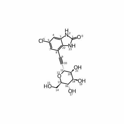 O=c1[nH]c2cc(Cl)cc(C#C[C@H]3O[C@H](CO)[C@@H](O)[C@H](O)[C@@H]3O)c2[nH]1